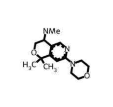 CNC1COC(C)(C)c2cc(N3CCOCC3)ncc21